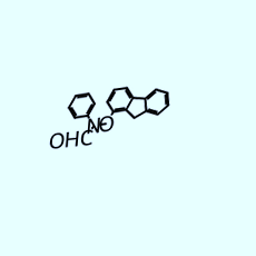 O=CN(Oc1cccc2c1Cc1ccccc1-2)c1ccccc1